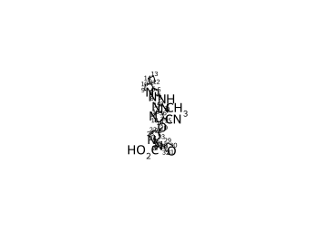 Cn1c(Nc2cc3n(n2)CCC32CCC2)nc2ncc(Oc3ccnc(N(C(=O)O)[C@H]4CCOC4)c3)c(C#N)c21